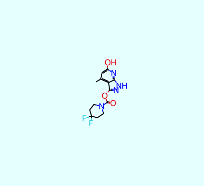 Cc1cc(O)nc2[nH]nc(OC(=O)N3CCC(F)(F)CC3)c12